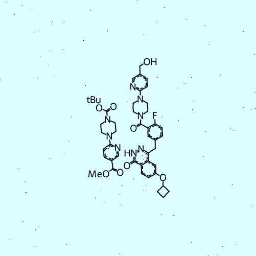 COC(=O)c1ccc(N2CCN(C(=O)OC(C)(C)C)CC2)nc1.O=C(c1cc(Cc2n[nH]c(=O)c3ccc(OC4CCC4)cc23)ccc1F)N1CCN(c2ccc(CO)cn2)CC1